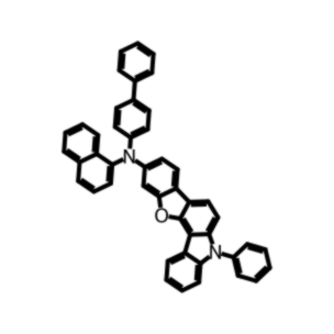 c1ccc(-c2ccc(N(c3ccc4c(c3)oc3c4ccc4c3c3ccccc3n4-c3ccccc3)c3cccc4ccccc34)cc2)cc1